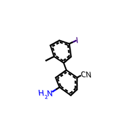 Cc1ccc(I)cc1-c1cc(N)ccc1C#N